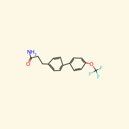 NC(=O)CCc1ccc(-c2ccc(OC(F)(F)F)cc2)cc1